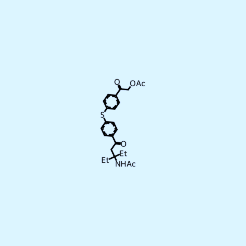 CCC(CC)(CC(=O)c1ccc(Sc2ccc(C(=O)COC(C)=O)cc2)cc1)NC(C)=O